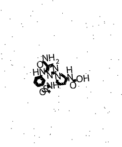 CS(=N)(=O)c1cccc(Nc2nc(N3CCC[C@H](NC(=O)O)C3)ncc2C(N)=O)c1